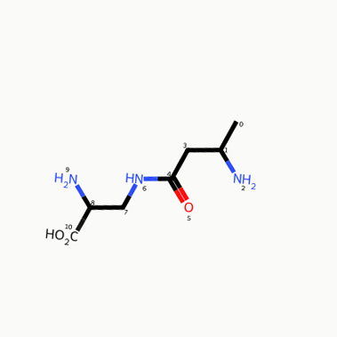 CC(N)CC(=O)NCC(N)C(=O)O